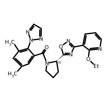 CCOc1ncccc1-c1noc([C@@H]2CCCN2C(=O)c2cc(C)cc(C)c2-n2nccn2)n1